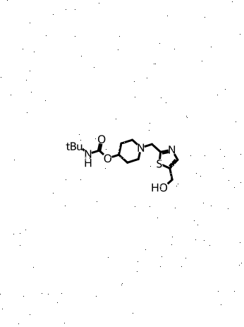 CC(C)(C)NC(=O)OC1CCN(Cc2ncc(CO)s2)CC1